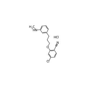 CNc1cccc(CCCOc2cc(Cl)ccc2C#N)c1.Cl